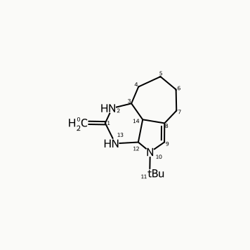 C=C1NC2CCCCC3=CN(C(C)(C)C)C(N1)C32